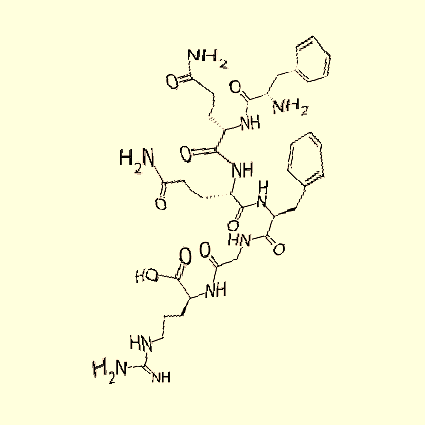 N=C(N)NCCC[C@H](NC(=O)CNC(=O)[C@H](Cc1ccccc1)NC(=O)[C@H](CCC(N)=O)NC(=O)[C@H](CCC(N)=O)NC(=O)[C@@H](N)Cc1ccccc1)C(=O)O